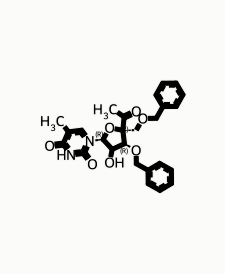 CC(=O)[C@]1(COCc2ccccc2)O[C@@H](n2cc(C)c(=O)[nH]c2=O)C(O)[C@H]1OCc1ccccc1